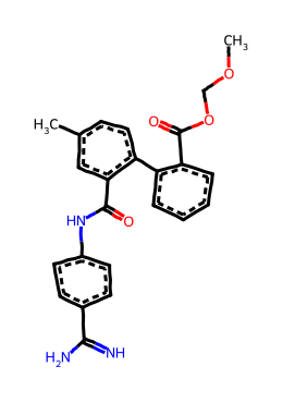 COCOC(=O)c1ccccc1-c1ccc(C)cc1C(=O)Nc1ccc(C(=N)N)cc1